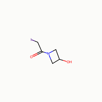 O=C(CI)N1CC(O)C1